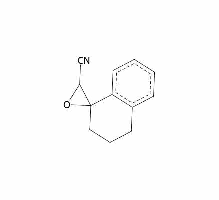 N#CC1OC12CCCc1ccccc12